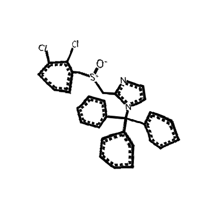 [O-][S+](Cc1nccn1C(c1ccccc1)(c1ccccc1)c1ccccc1)c1cccc(Cl)c1Cl